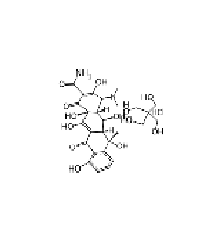 CN(C)[C@@H]1C(O)=C(C(N)=O)C(=O)[C@@]2(O)C(O)=C3C(=O)c4c(O)cccc4[C@@](C)(O)[C@H]3[C@H](O)[C@@H]12.Cl.OCC(CO)(CO)CO